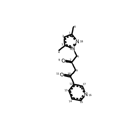 Cc1cc(C)n(CC(=O)CC(=O)c2cccnc2)n1